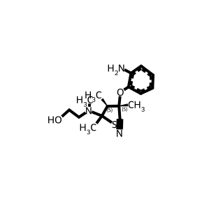 C[C@H](C(C)(S)N(C)CCO)[C@@](C)(C#N)Oc1ccccc1N